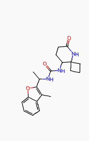 Cc1c(C(C)NC(=O)NC2CCC(=O)NC23CCC3)oc2ccccc12